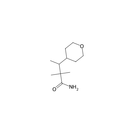 CC(C1CCOCC1)C(C)(C)C(N)=O